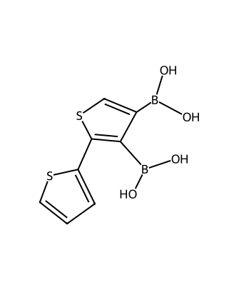 OB(O)c1csc(-c2cccs2)c1B(O)O